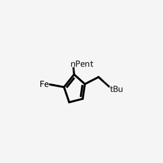 CCCCCC1=[C]([Fe])CC=C1CC(C)(C)C